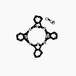 [Cl][Co][Cl].c1ccc2c(c1)-c1nc-2nc2[nH]c(nc3nc(nc4[nH]c(n1)c1ccccc41)-c1ccccc1-3)c1ccccc21